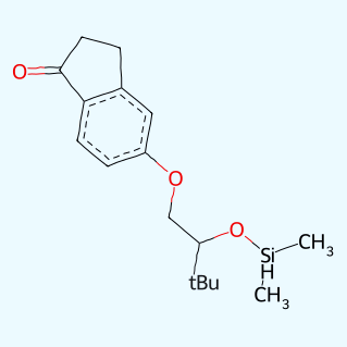 C[SiH](C)OC(COc1ccc2c(c1)CCC2=O)C(C)(C)C